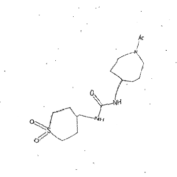 CC(=O)N1CCC(NC(=O)NC2CCS(=O)(=O)CC2)CC1